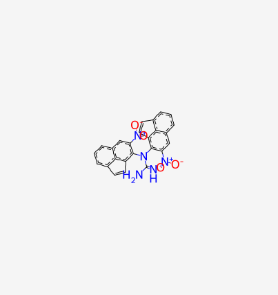 N=C(N)N(c1c([N+](=O)[O-])cc2cccc3c2c1C=C3)c1c([N+](=O)[O-])cc2cccc3c2c1C=C3